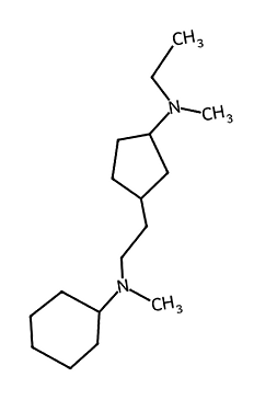 CCN(C)C1CCC(CCN(C)C2CCCCC2)C1